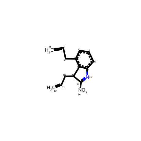 C=CCc1cccc2c1C(CC=C)C([N+](=O)[O-])=N2